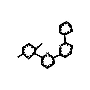 Cc1ccc(C)c(-c2cccc(-c3cccc(-c4ccccc4)n3)n2)c1